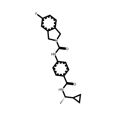 C[C@H](NC(=O)c1ccc(NC(=O)N2Cc3ccc(F)cc3C2)cc1)C1CC1